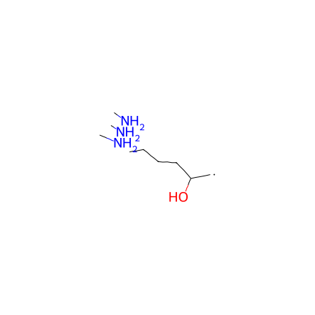 CN.CN.CN.[CH2]C(O)CCCC